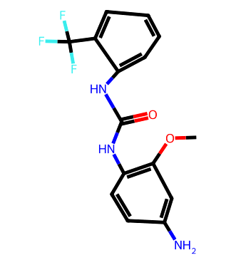 COc1cc(N)ccc1NC(=O)Nc1ccccc1C(F)(F)F